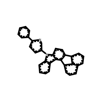 c1ccc(-c2ccc(-n3c4ccccc4c4c5c(ccc43)-c3cccc4cccc-5c34)cn2)cc1